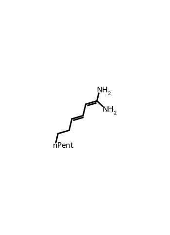 CCCCCCCC=CC=C(N)N